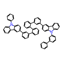 c1ccc(-c2cccc(-n3c4ccccc4c4cc(-c5cccc(-c6ccccc6-c6ccccc6-c6cccc(-c7ccc8c(c7)c7ccccc7n8-c7ccccc7)c6)c5)ccc43)c2)cc1